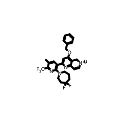 Cc1cc(-c2cc(OCc3ccccc3)c3c(n2)C=C[N+](=O)C3)c(N2CCCC(F)(F)CC2)nc1C(F)(F)F